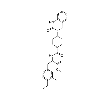 CCc1ccc(CC(NC(=O)N2CCC(N3Cc4ccccc4NC3=O)CC2)C(=O)OC)cc1CC